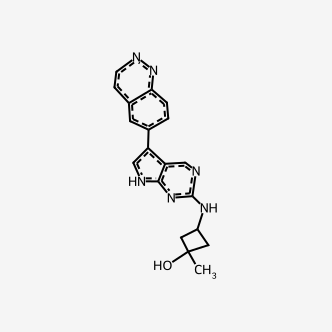 CC1(O)CC(Nc2ncc3c(-c4ccc5nnccc5c4)c[nH]c3n2)C1